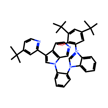 CC(C)(C)c1ccnc(-c2cn(-c3ccccc3-n3c[n+](-c4cc(C(C)(C)C)cc(C(C)(C)C)c4O)c4ccccc43)c3cnccc23)c1